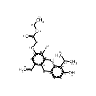 C=Cc1cc(OCC(=O)OCC)c(F)c(Cl)c1Cc1ccc(O)c(C(C)C)c1